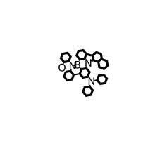 c1ccc(N(c2ccccc2)c2cc3c4c(c2)-n2c5c(cccc5c5ccc6ccccc6c52)B4N2c4ccccc4Oc4cccc-3c42)cc1